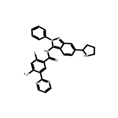 O=C(Nc1c2ccc(C3CCCN3)cc2nn1-c1ccccc1)c1cc(-c2ncccn2)c(C(F)(F)F)cc1F